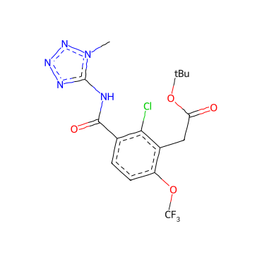 Cn1nnnc1NC(=O)c1ccc(OC(F)(F)F)c(CC(=O)OC(C)(C)C)c1Cl